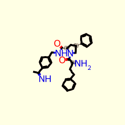 CC(=N)c1ccc(CNC(=O)[C@@H]2C[C@H](c3ccccc3)CN2C(=O)[C@H](N)CCc2ccccc2)cc1